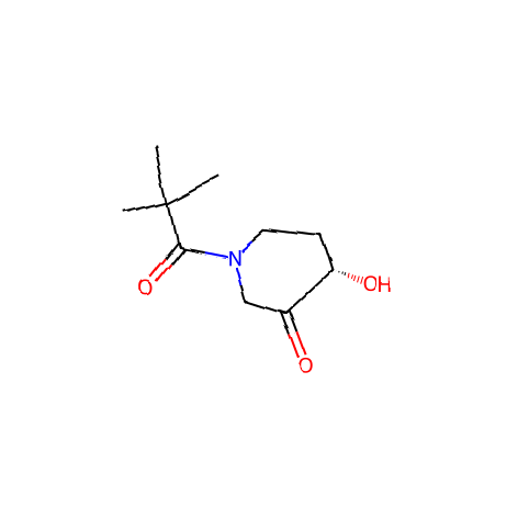 CC(C)(C)C(=O)N1CC[C@H](O)C(=O)C1